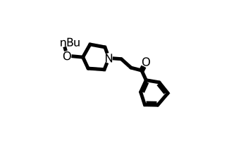 CCCCOC1CCN(CCC(=O)c2ccccc2)CC1